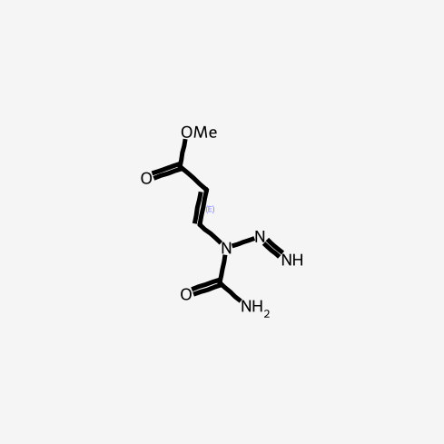 COC(=O)/C=C/N(N=N)C(N)=O